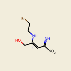 N=C(/C=C(/CO)NCCBr)[N+](=O)[O-]